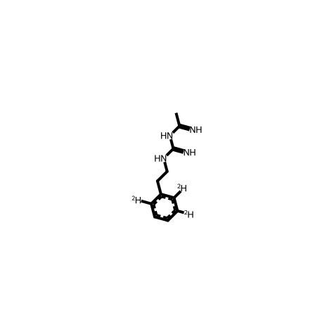 [2H]c1ccc([2H])c(CCNC(=N)NC(C)=N)c1[2H]